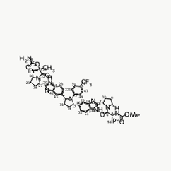 COC(=O)N[C@H](C(=O)N1CCC[C@H]1c1nc2cc([C@@H]3CC[C@@H](c4ccc5[nH]c([C@@H]6CCCN6C(=O)[C@@](C)(OC(N)=O)C(C)C)nc5c4)N3c3ccc(C(F)(F)F)cc3)ccc2[nH]1)C(C)C